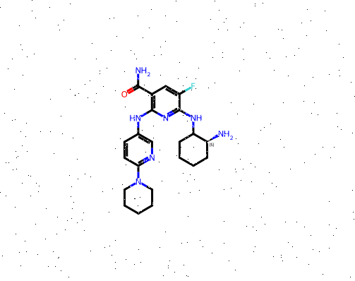 NC(=O)c1cc(F)c(NC2CCCC[C@@H]2N)nc1Nc1ccc(N2CCCCC2)nc1